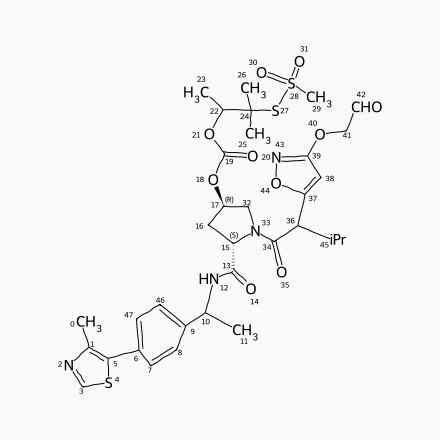 Cc1ncsc1-c1ccc(C(C)NC(=O)[C@@H]2C[C@@H](OC(=O)OC(C)C(C)(C)SS(C)(=O)=O)CN2C(=O)C(c2cc(OCC=O)no2)C(C)C)cc1